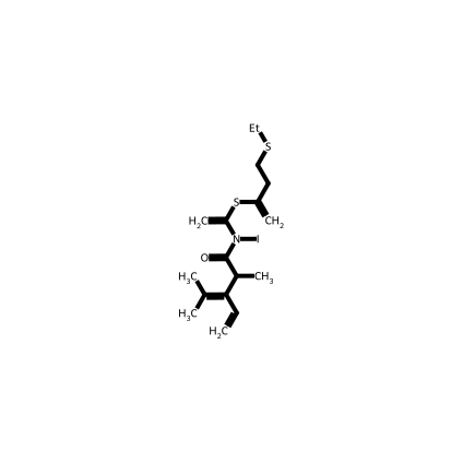 C=CC(=C(C)C)C(C)C(=O)N(I)C(=C)SC(=C)CCSCC